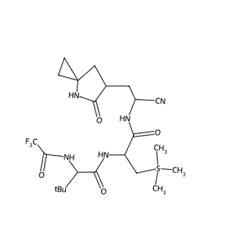 CC(C)(C)C(NC(=O)C(F)(F)F)C(=O)NC(CS(C)(C)C)C(=O)NC(C#N)CC1CC2(CC2)NC1=O